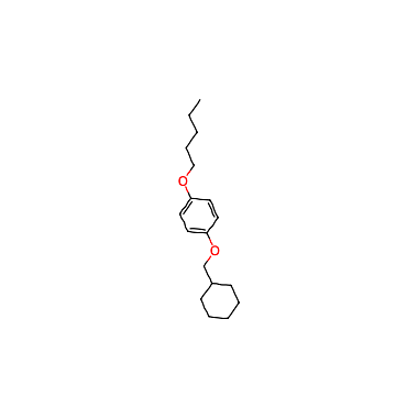 CCCCCOc1ccc(OCC2CCCCC2)cc1